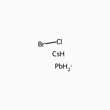 ClBr.[CsH].[PbH2]